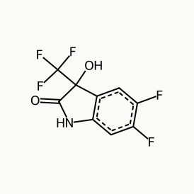 O=C1Nc2cc(F)c(F)cc2C1(O)C(F)(F)F